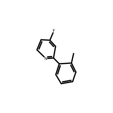 Cc1ccccc1-c1cc(F)ccn1